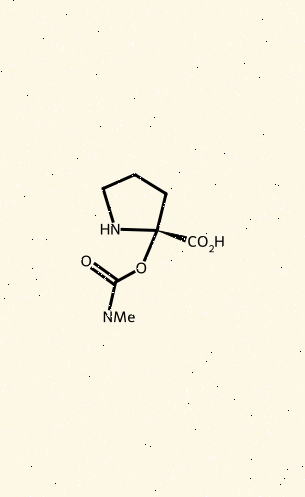 CNC(=O)O[C@@]1(C(=O)O)CCCN1